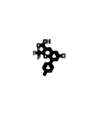 Cc1ccc(-c2cc(Cl)cc3c2OC(C(F)(F)F)C(C(=O)O)=C3)cc1